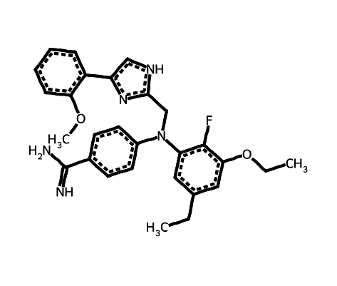 CCOc1cc(CC)cc(N(Cc2nc(-c3ccccc3OC)c[nH]2)c2ccc(C(=N)N)cc2)c1F